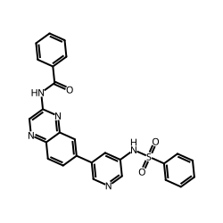 O=C(Nc1cnc2ccc(-c3cncc(NS(=O)(=O)c4ccccc4)c3)cc2n1)c1ccccc1